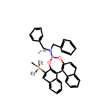 CCS(C)(CC)c1cc2ccccc2c2c1op(N(Cc1ccccc1)[C@H](C)c1ccccc1)oc1ccc3ccccc3c12